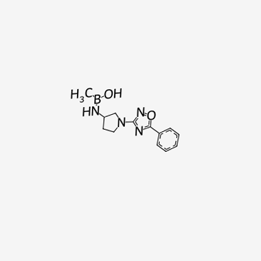 CB(O)NC1CCN(c2noc(-c3ccccc3)n2)C1